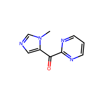 Cn1cncc1C(=O)c1ncccn1